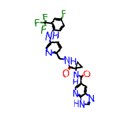 O=C(NC1(C(=O)NCc2ccc(Nc3ccc(F)cc3C(F)(F)F)cn2)CC1)c1cnc2[nH]cnc2c1